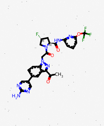 CC(=O)c1nn(CC(=O)N2C[C@H](F)C[C@H]2C(=O)Nc2cccc(OC(F)(F)F)n2)c2ccc(-c3cnc(N)nc3)cc12